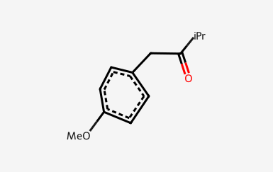 COc1ccc(CC(=O)C(C)C)cc1